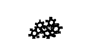 c1ccc(N2c3cccc4c3B(c3ccccc3-4)c3ccc4sc5ccccc5c4c32)cc1